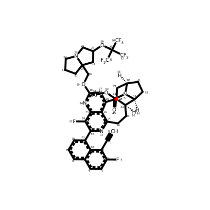 C#Cc1c(F)ccc2cccc(-c3nc4c5c(nc(OCC67CCCN6CC(OC(C(F)(F)F)(C(F)(F)F)C(F)(F)F)C7)nc5c3F)N3C[C@H]5CC[C@@H]([C@H]3CC4)N5C(=O)OC(C)(C)C)c12